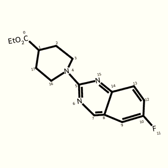 CCOC(=O)C1CCN(c2ncc3cc(F)ccc3n2)CC1